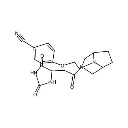 N#Cc1ccc(OCCN2C3CCC2CN(C(=O)CC2NC(=O)NC2=O)C3)cc1